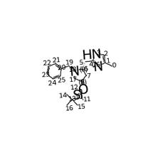 Cc1c[nH]c(C[C@@H]2C[C@@H](O[Si](C)(C)C(C)(C)C)CN2Cc2ccccc2)n1